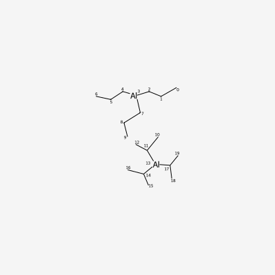 CC[CH2][Al]([CH2]CC)[CH2]CC.C[CH](C)[Al]([CH](C)C)[CH](C)C